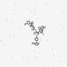 CN(CCc1ccc(C2=NCCN2)cc1)C(=O)CCCNCS(=O)(=O)c1cccc(F)c1.O=C(O)C(F)(F)F